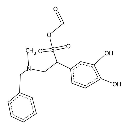 CN(Cc1ccccc1)CC(c1ccc(O)c(O)c1)S(=O)(=O)OC=O